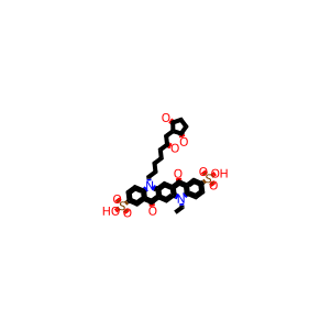 CCn1c2ccc(S(=O)(=O)O)cc2c(=O)c2cc3c(cc21)c(=O)c1cc(S(=O)(=O)O)ccc1n3CCCCCC(=O)CC1C(=O)CCC1=O